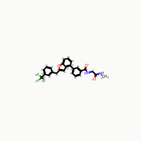 CNC(=O)CNC(=O)c1cccc(-c2cccc3oc(Cc4cccc(C(F)(F)F)c4)cc23)c1